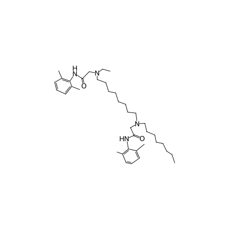 CCCCCCCCN(CCCCCCCCN(CC)CC(=O)Nc1c(C)cccc1C)CC(=O)Nc1c(C)cccc1C